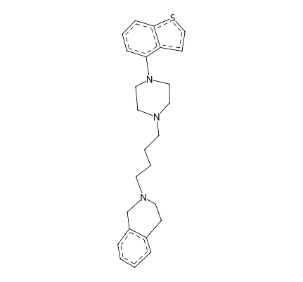 c1ccc2c(c1)CCN(CCCCN1CCN(c3cccc4sccc34)CC1)C2